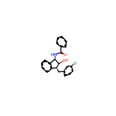 O=C(N[C@@H]1c2ccccc2[C@H](Cc2cccc(Cl)c2)C1O)c1ccccc1